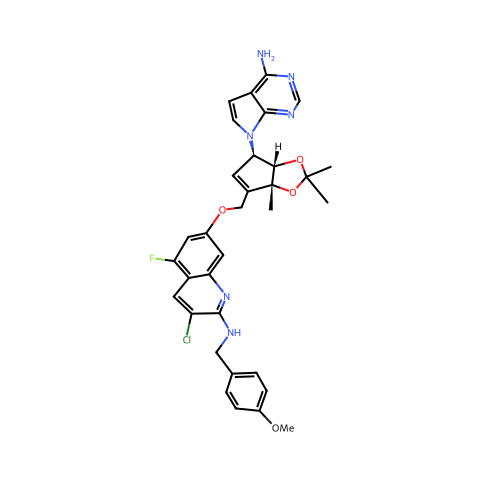 COc1ccc(CNc2nc3cc(OCC4=C[C@@H](n5ccc6c(N)ncnc65)[C@@H]5OC(C)(C)O[C@]45C)cc(F)c3cc2Cl)cc1